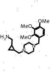 COc1ccc(CN2CCN(CC3CC3CN)CC2)c(OC)c1OC